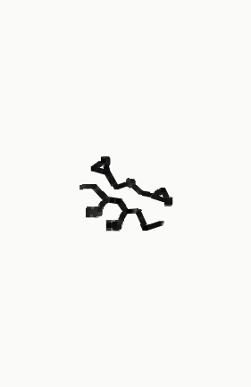 C(OCC1CO1)C1CO1.CCCC(O)CC(O)CC